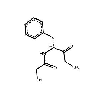 CCC(=O)N[C@H](Cc1ccccc1)C(=O)CC